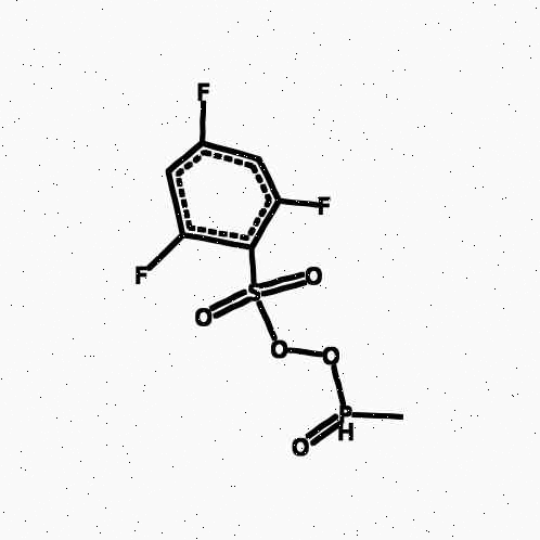 C[PH](=O)OOS(=O)(=O)c1c(F)cc(F)cc1F